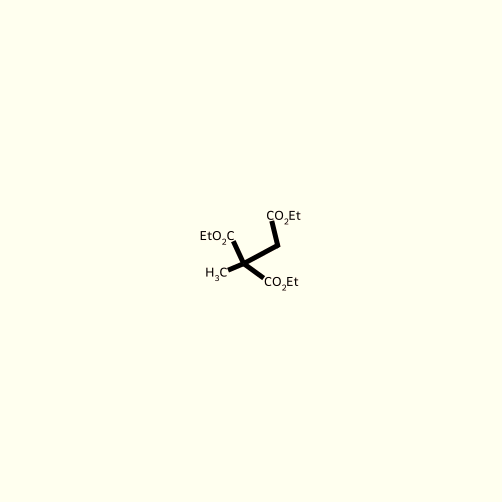 CCOC(=O)CC(C)(C(=O)OCC)C(=O)OCC